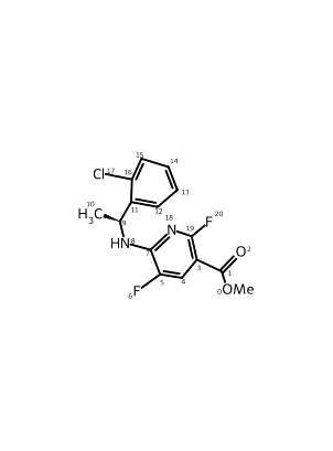 COC(=O)c1cc(F)c(N[C@@H](C)c2ccccc2Cl)nc1F